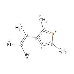 CC/C(=C(\C)c1cc(C)sc1C)C(C)C